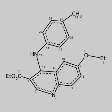 CCOC(=O)c1cnc2ccc(OCC)cc2c1Nc1ccc(C)cc1